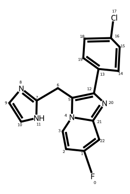 Fc1ccn2c(Cc3ncc[nH]3)c(-c3ccc(Cl)cc3)nc2c1